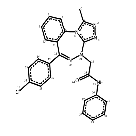 Cc1nnc2n1-c1ccccc1C(c1ccc(Cl)cc1)=NN2CC(=O)Nc1ccccc1